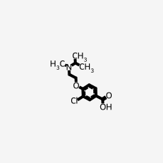 CC(C)N(C)CCOc1ccc(C(=O)O)cc1Cl